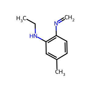 C=Nc1ccc(C)cc1NCC